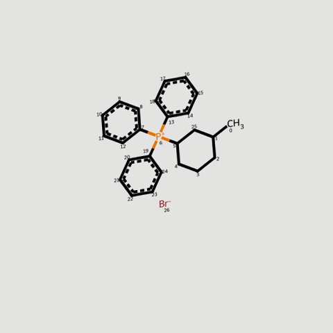 CC1CCCC([P+](c2ccccc2)(c2ccccc2)c2ccccc2)C1.[Br-]